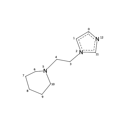 [c]1cn(CCN2CCCCC2)cn1